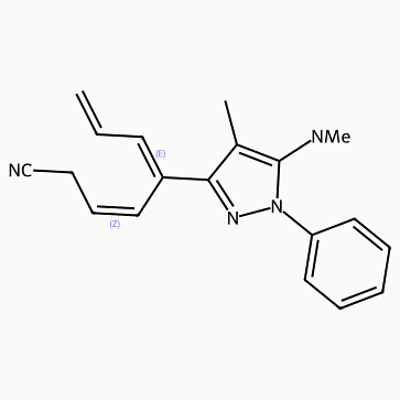 C=C/C=C(\C=C/CC#N)c1nn(-c2ccccc2)c(NC)c1C